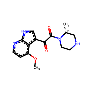 COc1ccnc2[nH]cc(C(=O)C(=O)N3CCNC[C@H]3C)c12